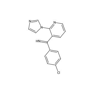 N=C(c1ccc(Cl)cc1)c1cccnc1-n1ccnc1